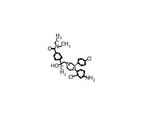 CCN(CC)C(=O)c1ccc([C@](C)(O)CN2CCN(c3ccc(N)cc3Cl)[C@H](c3ccc(Cl)cc3)C2)cc1